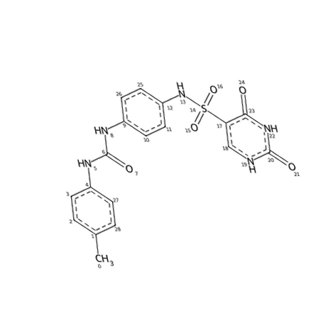 Cc1ccc(NC(=O)Nc2ccc(NS(=O)(=O)c3c[nH]c(=O)[nH]c3=O)cc2)cc1